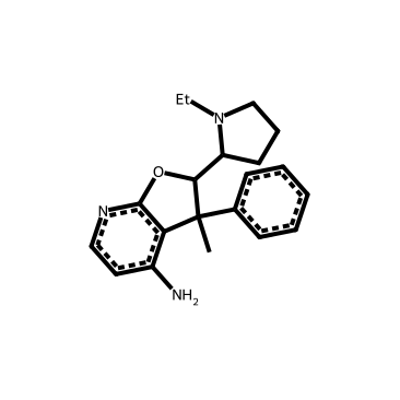 CCN1CCCC1C1Oc2nccc(N)c2C1(C)c1ccccc1